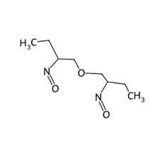 CCC(COCC(CC)N=O)N=O